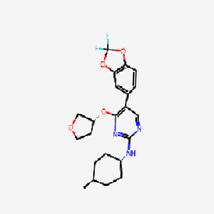 C[C@H]1CC[C@H](Nc2ncc(-c3ccc4c(c3)OC(F)(F)O4)c(O[C@@H]3CCOC3)n2)CC1